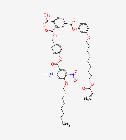 C=CC(=O)OCCCCCCCCCOc1ccccc1.CCCCCCCCOc1cc(N)c(C(=O)Oc2ccc(COC(=O)c3cc(C(=O)O)ccc3C(=O)O)cc2)cc1[N+](=O)[O-]